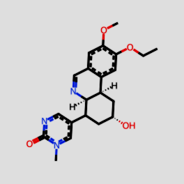 CCOc1cc2c(cc1OC)C=N[C@@H]1C(c3cnc(=O)n(C)c3)C[C@@H](O)C[C@H]21